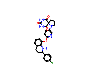 O=C1NC(=O)C2(CCCN2c2ccc(Oc3cccc4c3NC(c3ccc(F)cc3)CC4)nc2)C(=O)N1